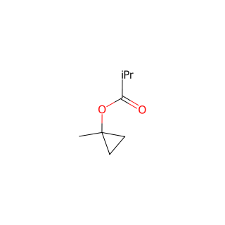 CC(C)C(=O)OC1(C)CC1